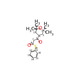 CC1(C)CC(C(=O)CC(=O)Sc2ccccc2)CC(C)(C)O1